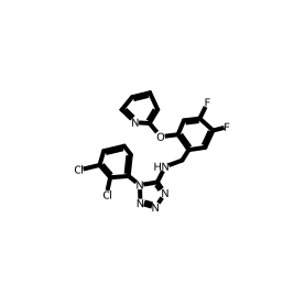 Fc1cc(CNc2nnnn2-c2cccc(Cl)c2Cl)c(Oc2ccccn2)cc1F